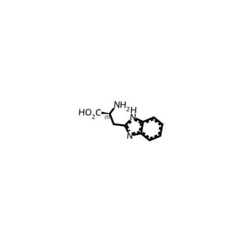 N[C@@H](Cc1nc2ccccc2[nH]1)C(=O)O